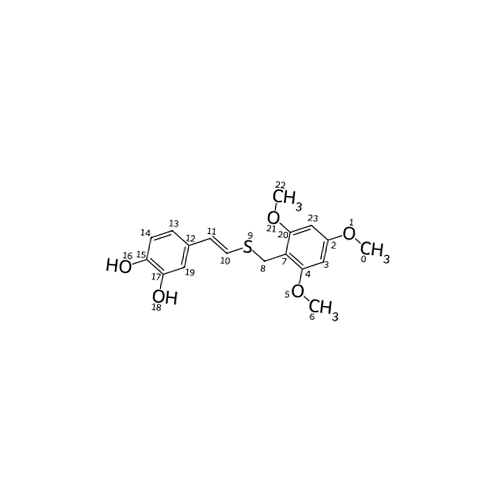 COc1cc(OC)c(CSC=Cc2ccc(O)c(O)c2)c(OC)c1